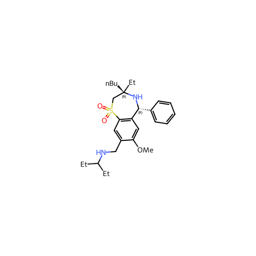 CCCC[C@]1(CC)CS(=O)(=O)c2cc(CNC(CC)CC)c(OC)cc2[C@@H](c2ccccc2)N1